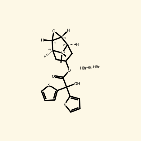 Br.Br.Br.C[N+]1(C)[C@@H]2CC(OC(=O)C(O)(c3cccs3)c3cccs3)C[C@H]1[C@@H]1O[C@@H]12